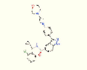 O=C(NC(c1ccccc1Cl)C1CC1)c1ccc2[nH]nc(-c3ccc(N4CC(N5CCOCC5)C4)cc3)c2c1